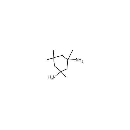 CC1(C)CC(C)(N)CC(C)(N)C1